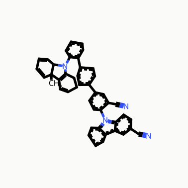 CC12C=CC=CC1N(c1ccccc1-c1ccc(-c3ccc(-n4c5ccccc5c5cc(C#N)ccc54)c(C#N)c3)cc1)C1=C2C=CCC1